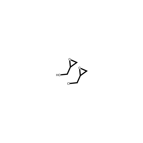 ClCC1CO1.OCC1CO1